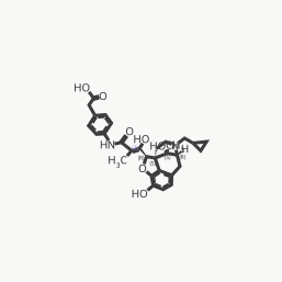 C/C(C(=O)Nc1ccc(CC(=O)O)cc1)=C(/O)[C@@H]1Oc2c(O)ccc3c2[C@@]12CCN(CC1CC1)[C@H](C3)[C@@]2(C)O